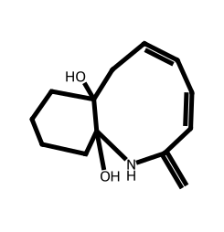 C=C1/C=C\C=C/CC2(O)CCCCC2(O)N1